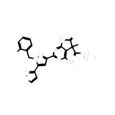 CC(=O)NNC(=O)C1(C)C(=O)Nc2nc(-c3cc(-c4ccon4)n(Cc4ccccc4F)n3)nc(N)c21